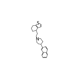 c1ccc2cc(C3CCN(CCC4CCCc5sccc54)CC3)ccc2c1